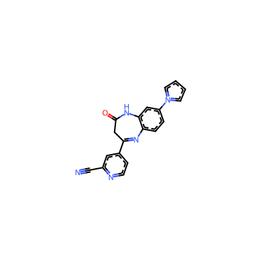 N#Cc1cc(C2=Nc3ccc(-n4cccc4)cc3NC(=O)C2)ccn1